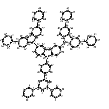 c1ccc(-c2nc(-c3ccccc3)nc(-c3ccc(-n4c5ccc(-n6c7ccc(-c8ccccn8)cc7c7cc(-c8ccccn8)ccc76)cc5c5cc(-n6c7ccc(-c8ccccn8)cc7c7cc(-c8ccccn8)ccc76)ccc54)cc3)n2)cc1